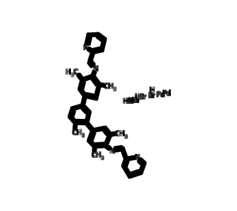 Br.Br.Br.Br.Cc1ccc(-c2cc(C)c(N=Cc3ccccn3)c(C)c2)cc1-c1cc(C)c(N=Cc2ccccn2)c(C)c1.[Pd].[Pd]